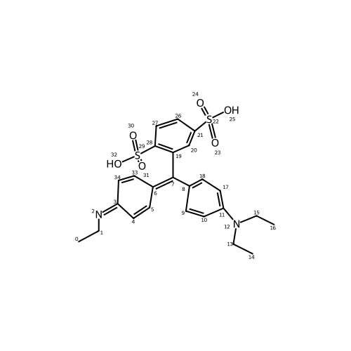 CCN=C1C=CC(=C(c2ccc(N(CC)CC)cc2)c2cc(S(=O)(=O)O)ccc2S(=O)(=O)O)C=C1